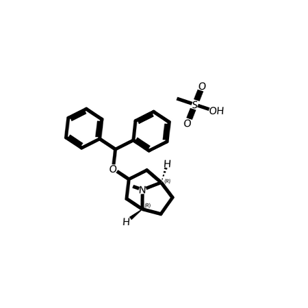 CN1[C@@H]2CC[C@@H]1CC(OC(c1ccccc1)c1ccccc1)C2.CS(=O)(=O)O